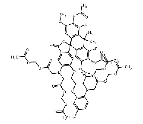 COc1cc2c(c(Cl)c1OC(C)=O)C(C)(C)c1c(cc(OC)c(OC(C)=O)c1Cl)C21OC(=O)c2cc(N(CC(=O)OCOC(C)=O)CC(=O)OCOC(C)=O)c(OCCOc3cc(C)ccc3N(CC(=O)OCOC(C)=O)CC(=O)OCOC(C)=O)cc21